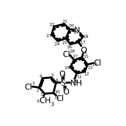 CC1C(Cl)=CC=C(S(=O)(=O)Nc2cc(Cl)c(Oc3cnc4ccccc4c3)c(Cl)c2)C1Cl